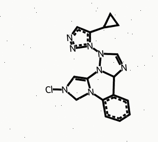 ClN1C=C2N(C1)c1ccccc1C1N=CN(n3nncc3C3CC3)N21